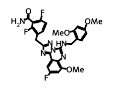 COc1ccc(CNc2nc3c(OC)cc(F)cc3c3nc(Cc4ccc(F)c(C(N)=O)c4F)nn23)c(OC)c1